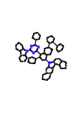 c1ccc(-c2nc(-c3c(-c4ccccc4)cc(-n4c5cc6ccccc6cc5c5c6ccccc6ccc54)c4ccc(-c5ccccc5-c5ccccc5)cc34)nc(-n3c4ccccc4c4ccccc43)n2)cc1